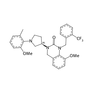 COc1cccc(C)c1N1CC[C@@H](N2Cc3cccc(OC)c3N(Cc3ccccc3C(F)(F)F)C2=O)C1